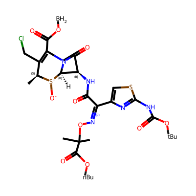 BOC(=O)C1=C(CCl)[C@H](C)[S+]([O-])[C@@H]2[C@H](NC(=O)/C(=N\OC(C)(C)C(=O)OCCCC)c3csc(NC(=O)OC(C)(C)C)n3)C(=O)N12